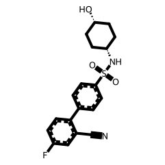 N#Cc1cc(F)ccc1-c1ccc(S(=O)(=O)N[C@H]2CC[C@@H](O)CC2)cc1